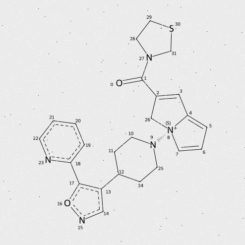 O=C(C1=CC2=CC=C[N@@+]2(N2CCC(c3cnoc3-c3ccccn3)CC2)C1)N1CCSC1